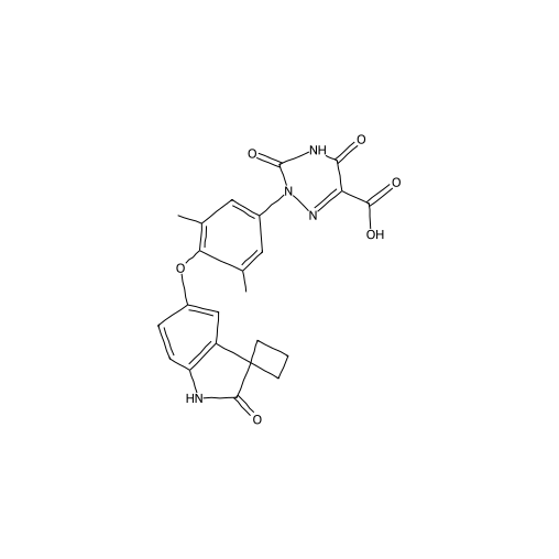 Cc1cc(-n2nc(C(=O)O)c(=O)[nH]c2=O)cc(C)c1Oc1ccc2c(c1)C1(CCC1)C(=O)N2